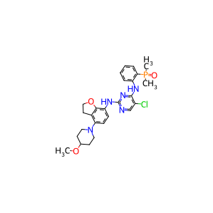 COC1CCN(c2ccc(Nc3ncc(Cl)c(Nc4ccccc4P(C)(C)=O)n3)c3c2CCO3)CC1